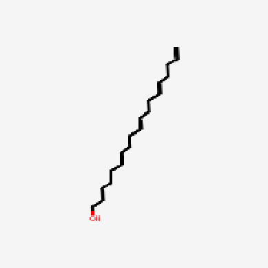 C=CCCC=CCCC=CCCC=CCCC=CCO